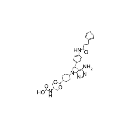 Nc1ncnc2c1c(-c1ccc(NC(=O)CCc3ccccc3)cc1)cn2[C@H]1CC[C@H](C2OCC(NC(=O)O)CO2)CC1